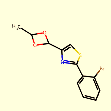 CC1OC(c2csc(-c3ccccc3Br)n2)O1